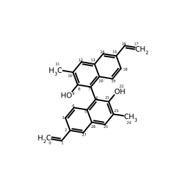 C=Cc1ccc2c(-c3c(O)c(C)cc4cc(C=C)ccc34)c(O)c(C)cc2c1